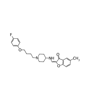 Cc1ccc2c(c1)C(=O)C(=CNC1CCN(CCCCOc3ccc(F)cc3)CC1)O2